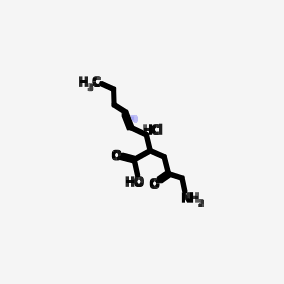 CCC/C=C/CC(CC(=O)CN)C(=O)O.Cl